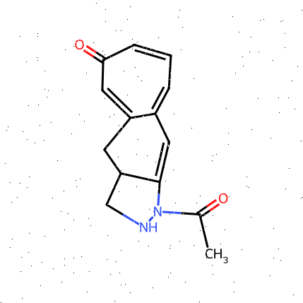 CC(=O)N1NCC2Cc3cc(=O)cccc3C=C21